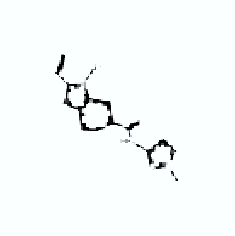 C=Cc1cc2ccc(C(=O)Nc3ccn(C)n3)cc2n1C(C)C